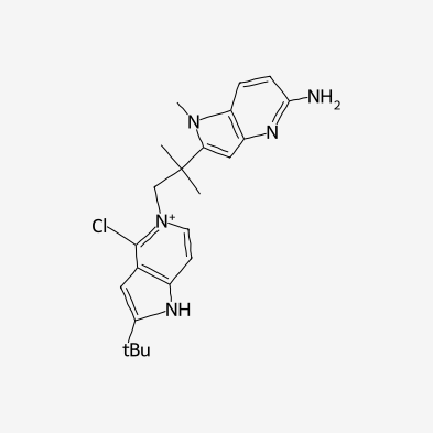 Cn1c(C(C)(C)C[n+]2ccc3[nH]c(C(C)(C)C)cc3c2Cl)cc2nc(N)ccc21